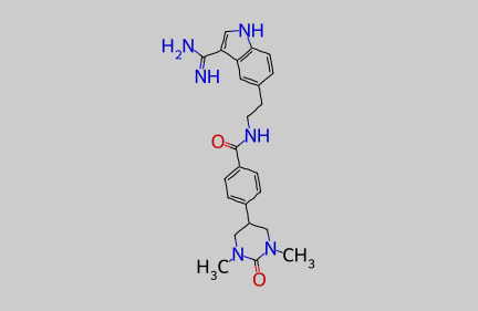 CN1CC(c2ccc(C(=O)NCCc3ccc4[nH]cc(C(=N)N)c4c3)cc2)CN(C)C1=O